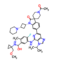 COCC1(NC(O)c2cc(Nc3nc(-c4ccc5c(c4)N([C@H]4C[C@@H](N6CCCCC6)C4)C(=O)C54CCN(C(C)=O)CC4)cc4ncn(C(C)C)c34)c(F)cc2C)CC1